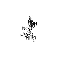 N#Cc1cc(S(=O)(=O)Nc2ncc(Cl)s2)ccc1Oc1ccc(Cl)cc1-c1cn[nH]c1N